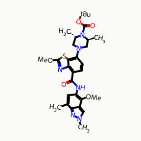 COc1nc2c(C(=O)Nc3cc(C)c4nn(C)cc4c3OC)ccc(N3C[C@H](C)N(C(=O)OC(C)(C)C)[C@@H](C)C3)c2s1